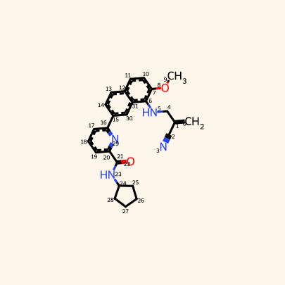 C=C(C#N)CNc1c(OC)ccc2ccc(-c3cccc(C(=O)NC4CCCC4)n3)cc12